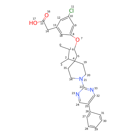 CCC(C)C1(CCOc2cc(Cl)cc(CC(=O)O)c2)CCN(c2ncc(-c3ccccc3)cn2)CC1